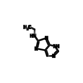 CCNc1nc2cnc[nH]c-2n1